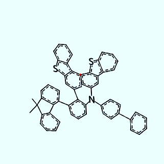 CC1(C)c2ccccc2-c2c(-c3cccc(N(c4ccc(-c5ccccc5)cc4)c4ccc5sc6ccccc6c5c4)c3-c3ccc4c(c3)sc3ccccc34)cccc21